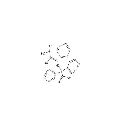 CC(O)(C(=O)O)c1ccccc1.O=C(O)C(O)(c1ccccc1)c1ccccc1